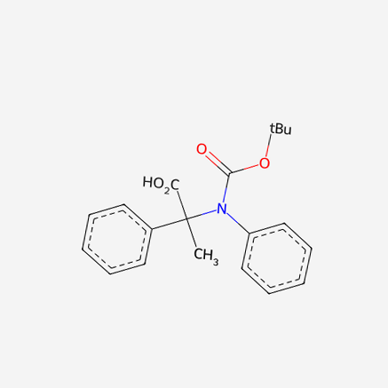 CC(C)(C)OC(=O)N(c1ccccc1)C(C)(C(=O)O)c1ccccc1